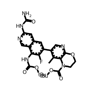 Cc1c(-c2cc3cc(NC(N)=O)ncc3c(NC(=O)OC(C)(C)C)c2F)cnc2c1N(C(=O)OC(C)(C)C)CCO2